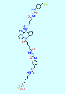 CP(O)(=S)OCCCCCCNC(=O)OCc1ccc(NC(=O)CNC(=O)CCCCC(=O)N2Cc3ccccc3C3=C(NNN3CCCCCC(=O)NCC(=O)Nc3ccc(CS)cc3)c3ccccc32)cc1